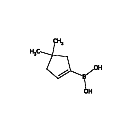 CC1(C)CC=C(B(O)O)C1